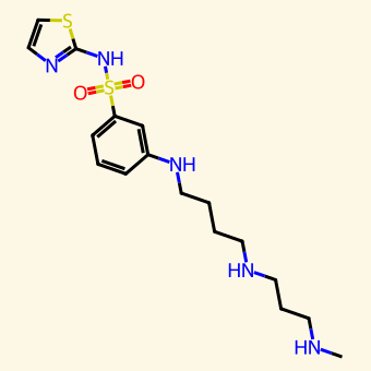 CNCCCNCCCCNc1cccc(S(=O)(=O)Nc2nccs2)c1